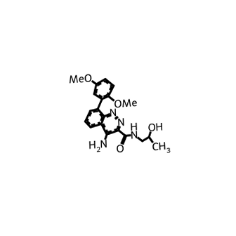 COc1ccc(OC)c(-c2cccc3c(N)c(C(=O)NCC(C)O)nnc23)c1